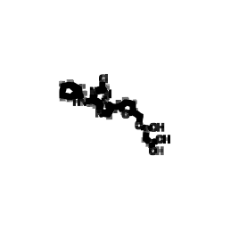 OP(O)CP(O)OCC1CCC(c2cnc3c(NC4CC5CCC4C5)nc(Cl)nn23)O1